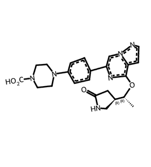 C[C@@H](Oc1nc(-c2ccc(N3CCN(C(=O)O)CC3)cc2)cn2nccc12)[C@H]1CNC(=O)C1